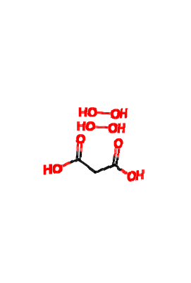 O=C(O)CC(=O)O.OO.OO